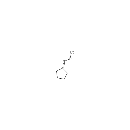 CCO/N=C1/C[CH]CC1